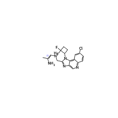 C/C(N)=C/NCc1nc2cnc3ccc(Cl)cc3c2n1C1CCC1(F)F